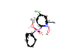 CCOP(=O)(c1ccccc1)c1cc(Br)cc(C)[n+]1[O-]